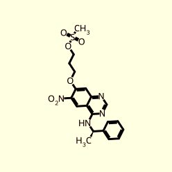 C[C@@H](Nc1ncnc2cc(OCCCOS(C)(=O)=O)c([N+](=O)[O-])cc12)c1ccccc1